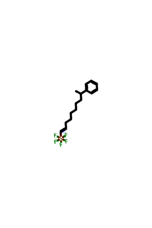 CC(CCCCCC/C=C/S(F)(F)(F)(F)F)c1ccccc1